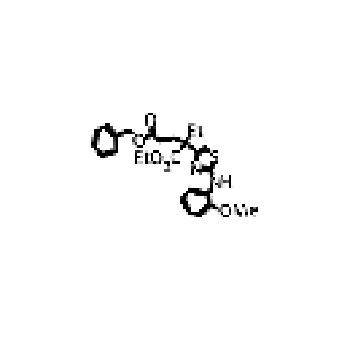 CCOC(=O)C(CC)(CCC(=O)OCc1ccccc1)c1csc(Nc2ccccc2OC)n1